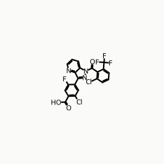 O=C(O)c1cc(F)c(-c2nn(C(=O)c3c(Cl)cccc3C(F)(F)F)c3cccnc23)cc1Cl